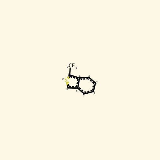 FC(F)(F)c1scc2ccccc12